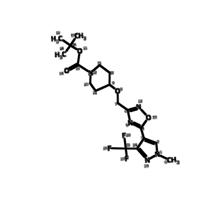 Cn1cc(-c2nc(COC3CCN(C(=O)OC(C)(C)C)CC3)no2)c(C(F)(F)F)n1